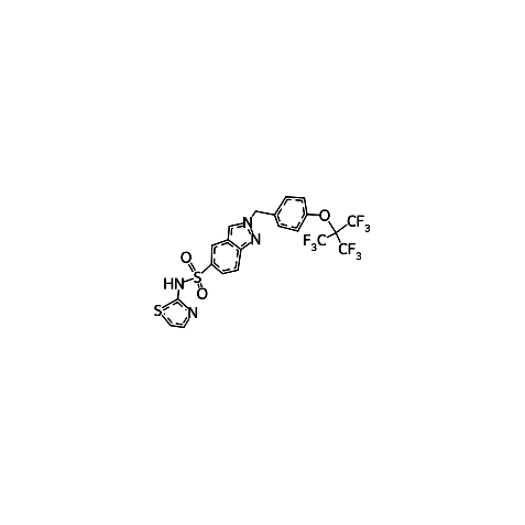 O=S(=O)(Nc1nccs1)c1ccc2nn(Cc3ccc(OC(C(F)(F)F)(C(F)(F)F)C(F)(F)F)cc3)cc2c1